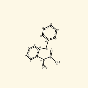 C[C@H](C(=O)O)c1ccccc1Cc1ccccc1